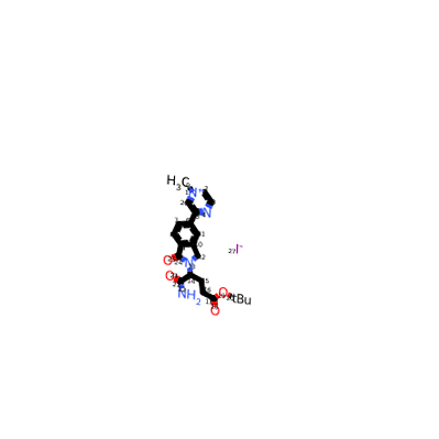 C[n+]1ccnc(-c2ccc3c(c2)CN(C(CCC(=O)OC(C)(C)C)C(N)=O)C3=O)c1.[I-]